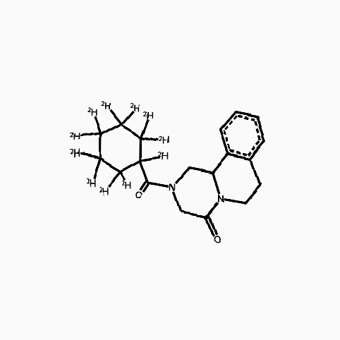 [2H]C1([2H])C([2H])([2H])C([2H])([2H])C([2H])(C(=O)N2CC(=O)N3CCc4ccccc4C3C2)C([2H])([2H])C1([2H])[2H]